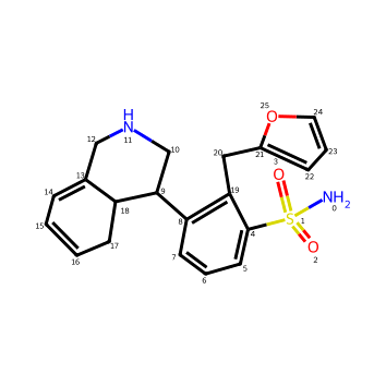 NS(=O)(=O)c1cccc(C2CNCC3=CC=CCC32)c1Cc1ccco1